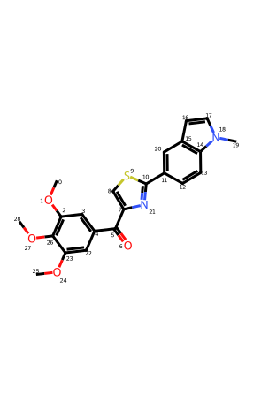 COc1cc(C(=O)c2csc(-c3ccc4c(ccn4C)c3)n2)cc(OC)c1OC